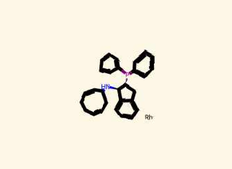 C1=C\CC(N[C@@H]2c3ccccc3C[C@H]2P(c2ccccc2)c2ccccc2)/C=C\CC/1.[Rh]